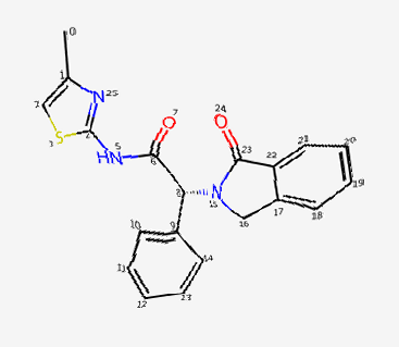 Cc1csc(NC(=O)[C@@H](c2ccccc2)N2Cc3ccccc3C2=O)n1